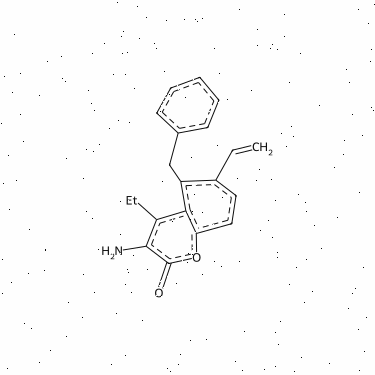 C=Cc1ccc2oc(=O)c(N)c(CC)c2c1Cc1ccccc1